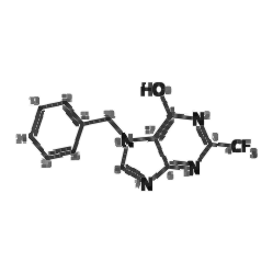 Oc1nc(C(F)(F)F)nc2ncn(Cc3ccccc3)c12